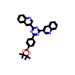 CC1(C)OB(c2ccc(-c3nc(-c4cnc5ccccc5c4)nc(-c4cnc5ccccc5c4)n3)cc2)OC1(C)C